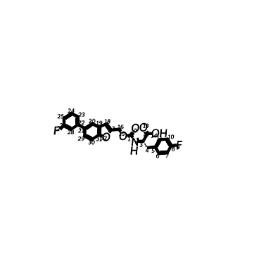 O=C(N[C@@H](Cc1ccc(F)cc1)C(=O)O)OCc1cc2cc(-c3cccc(F)c3)ccc2o1